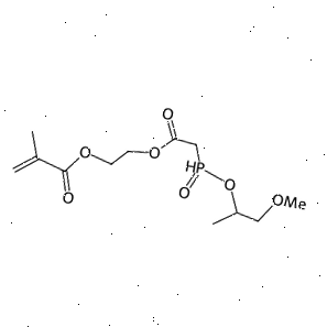 C=C(C)C(=O)OCCOC(=O)C[PH](=O)OC(C)COC